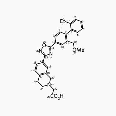 CCc1ccccc1-c1ccc(-c2nc(-c3ccc4c(c3)CN(CC(=O)O)CC4)no2)cc1COC